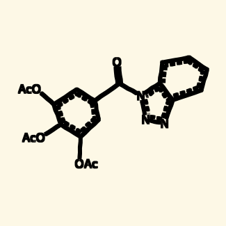 CC(=O)Oc1cc(C(=O)n2nnc3ccccc32)cc(OC(C)=O)c1OC(C)=O